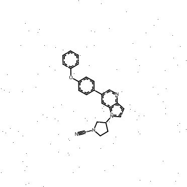 N#CN1CCC(n2ccc3ncc(-c4ccc(Oc5ccccc5)cc4)cc32)C1